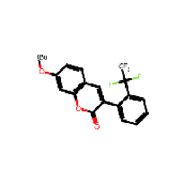 CC(C)(C)Oc1ccc2cc(-c3ccccc3C(F)(F)C(F)(F)F)c(=O)oc2c1